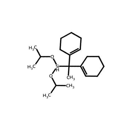 CC(C)O[SiH](OC(C)C)C(C)(C1=CCCCC1)C1=CCCCC1